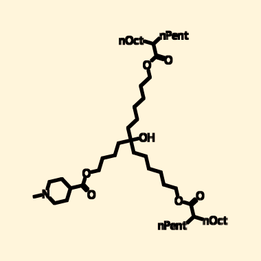 CCCCCCCCC(CCCCC)C(=O)OCCCCCCC(O)(CCCCCCOC(=O)C(CCCCC)CCCCCCCC)CCCCOC(=O)C1CCN(C)CC1